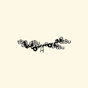 CC(C)(C)OC(=O)[C@@H](Cc1cccc(OCCNCCOc2cccc(C[C@@H](C(=O)OC(C)(C)C)[C@@H]3CCN(C(=O)OC(C)(C)C)C3)c2)c1)[C@H]1CCN(C(=O)OC(C)(C)C)C1